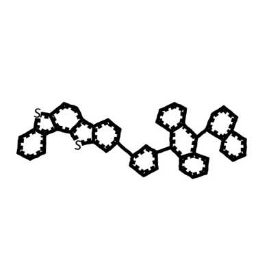 c1cc(-c2ccc3c(c2)sc2c3ccc3sc4ccccc4c32)cc(-c2c3ccccc3c(-c3cccc4ccccc34)c3ccccc23)c1